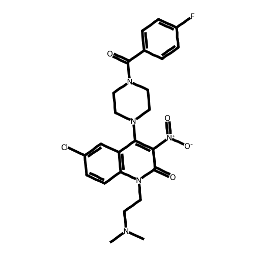 CN(C)CCn1c(=O)c([N+](=O)[O-])c(N2CCN(C(=O)c3ccc(F)cc3)CC2)c2cc(Cl)ccc21